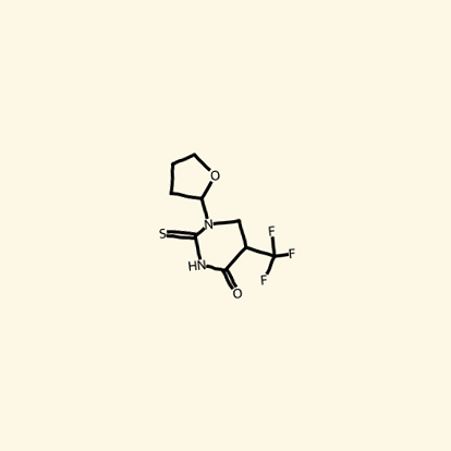 O=C1NC(=S)N(C2CCCO2)CC1C(F)(F)F